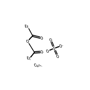 CCC(=O)OC(=O)CC.O=S(=O)([O-])[O-].[Cu+2]